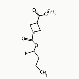 CCCC(F)OC(=O)N1CC(C(=O)OC)C1